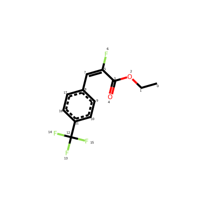 CCOC(=O)/C(F)=C\c1ccc(C(F)(F)F)cc1